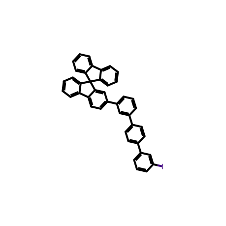 Ic1cccc(-c2ccc(-c3cccc(-c4ccc5c(c4)C4(c6ccccc6-c6ccccc64)c4ccccc4-5)c3)cc2)c1